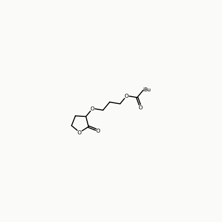 CCC(C)C(=O)OCCCOC1CCOC1=O